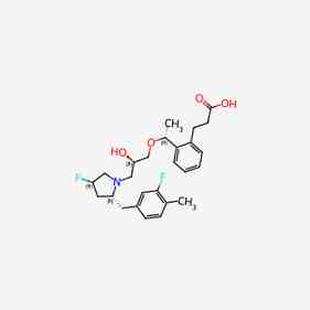 Cc1ccc(C[C@@H]2C[C@@H](F)CN2C[C@@H](O)CO[C@H](C)c2ccccc2CCC(=O)O)cc1F